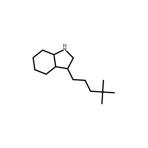 CC(C)(C)CCCC1CNC2CCCCC12